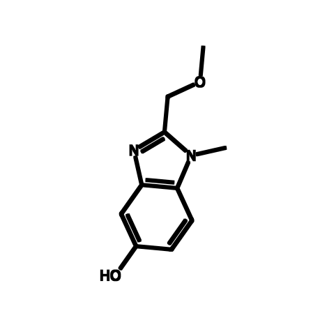 COCc1nc2cc(O)ccc2n1C